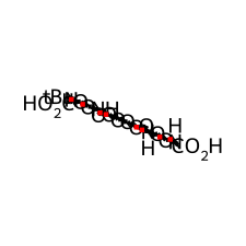 CC(C)(C)N(CCOCCOCCNC(=O)CCOCCOCCOCCOCCC(=O)NCCOCCOCCNC(=O)O)C(=O)O